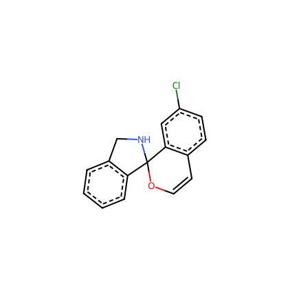 Clc1ccc2c(c1)C1(NCc3ccccc31)OC=C2